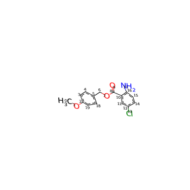 COc1ccc(COC(=O)c2cc(Cl)ccc2N)cc1